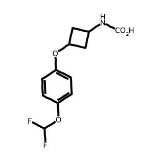 O=C(O)NC1CC(Oc2ccc(OC(F)F)cc2)C1